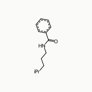 CC(C)CCCNC(=O)c1ccccc1